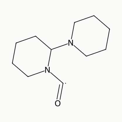 O=[C]N1CCCCC1N1CCCCC1